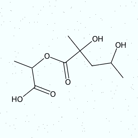 CC(O)CC(C)(O)C(=O)OC(C)C(=O)O